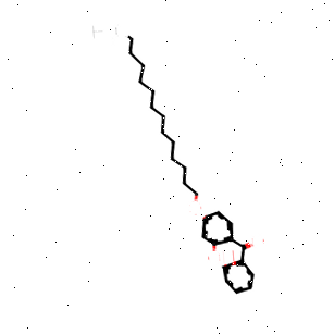 CCCCCCCCCCCCCCOc1ccc(C(=O)c2ccccc2)c(O)c1